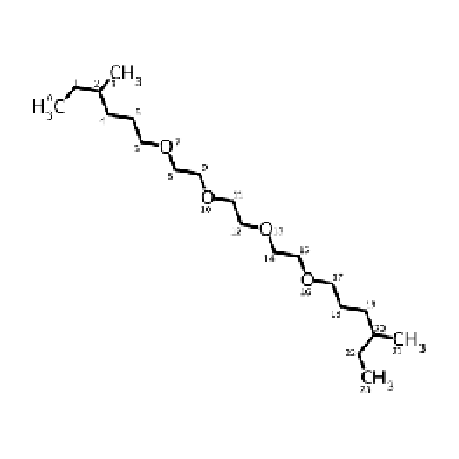 CCC(C)CCCOCCOCCOCCOCCCC(C)CC